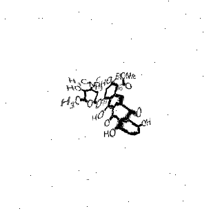 CC[C@@]1(O)C[C@H](OC2CC(N(C)C)C(O)C(C)O2)c2c(cc3c(c2O)C(=O)c2c(O)ccc(O)c2C3=O)[C@H]1C(=O)OC